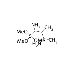 CO[Si](OC)(OC)C(N)C(C)C(C)N